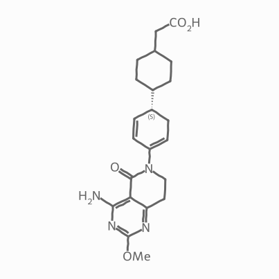 COc1nc(N)c2c(n1)CCN(C1=CC[C@@H](C3CCC(CC(=O)O)CC3)C=C1)C2=O